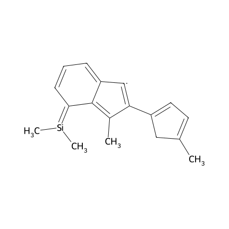 CC1=CC=C(C2=[C]c3cccc(=[Si](C)C)c3=C2C)C1